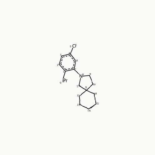 CC(C)c1ccc(Cl)cc1N1CCC2(CCCCC2)C1